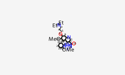 CCN(CC)CCCOc1cc2ncc(C(N)=O)c(Nc3ccccc3OC)c2cc1OC